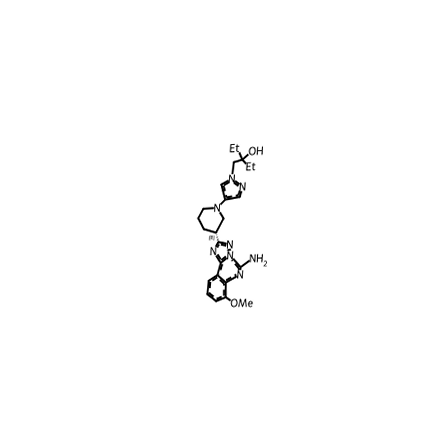 CCC(O)(CC)Cn1cc(N2CCC[C@@H](c3nc4c5cccc(OC)c5nc(N)n4n3)C2)cn1